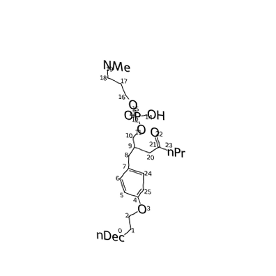 CCCCCCCCCCCCOc1ccc(CC(COP(=O)(O)OCCCNC)CC(=O)CCC)cc1